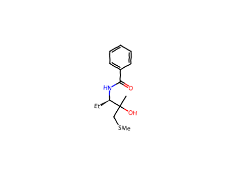 CC[C@@H](NC(=O)c1ccccc1)C(C)(O)CSC